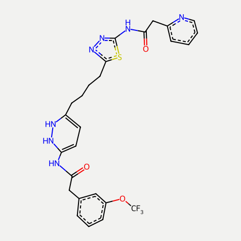 O=C(Cc1cccc(OC(F)(F)F)c1)NC1=CC=C(CCCCc2nnc(NC(=O)Cc3ccccn3)s2)NN1